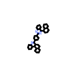 c1ccc2c(-c3nc(-c4ccc(-c5nc6ccccc6c6c5ccc5ccccc56)cc4)nc4ccccc34)cccc2c1